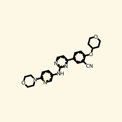 N#Cc1cc(-c2ccnc(Nc3ccc(N4CCOCC4)nc3)n2)ccc1OC1CCOCC1